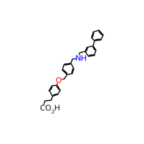 O=C(O)CCc1ccc(OCc2ccc(CNCc3cccc(-c4ccccc4)c3)cc2)cc1